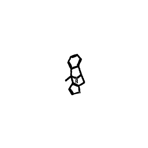 CC12NC(Cc3sccc31)c1ccccc12